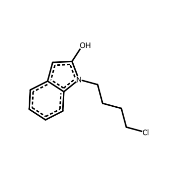 Oc1cc2ccccc2n1CCCCCl